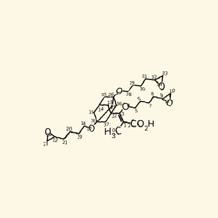 CC(C(=O)O)=C(OCCCCC1CO1)C12CC3CC(OCCCCC4CO4)(CC(OCCCCC4CO4)(C3)C1)C2